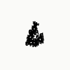 COc1cc2ncnc(Nc3cccc(Cl)c3F)c2cc1OC1CCN(C(=O)Nc2ccc(N(C)C)cc2)CC1